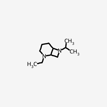 CCN1CCCC2C1CN2C(C)C